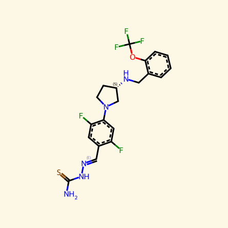 NC(=S)N/N=C/c1cc(F)c(N2CC[C@H](NCc3ccccc3OC(F)(F)F)C2)cc1F